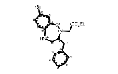 CCOC(=O)CN1Sc2cc(Br)ccc2NCC1Cc1ccccc1